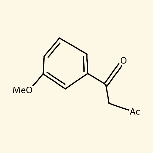 COc1cccc(C(=O)CC(C)=O)c1